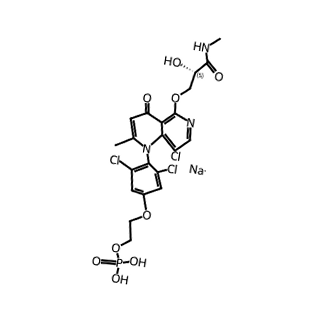 CNC(=O)[C@@H](O)COc1ncc(Cl)c2c1c(=O)cc(C)n2-c1c(Cl)cc(OCCOP(=O)(O)O)cc1Cl.[Na]